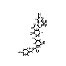 O=C(NCc1ccc(F)nc1)c1cc(F)cc(Cn2ccc3cc(-c4c[nH]nc4C(F)(F)F)ccc3c2=O)c1